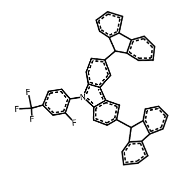 Fc1cc(C(F)(F)F)ccc1-n1c2ccc(C3c4ccccc4-c4ccccc43)cc2c2cc(C3c4ccccc4-c4ccccc43)ccc21